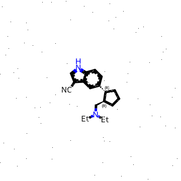 CCN(CC)C[C@@H]1CCC[C@H]1c1ccc2[nH]cc(C#N)c2c1